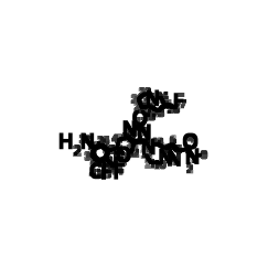 CN(C)C(=O)c1cc2n(n1)CCCN(c1nc(OC[C@@]34CCCN3C/C(=C\F)C4)nc3c1COC(c1cc(N)cc(Cl)c1C(F)(F)F)C3)C2